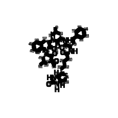 CC(C)C[C@H](NC(=O)[C@H](CCc1ccccc1)NC(=O)CCCC[C@@H]1SC[C@@H]2NC(=O)N[C@@H]21)C(=O)N[C@@H](Cc1ccccc1)C(=O)N[C@@H](CC(C)C)C(=O)[C@@]1(C)CO1